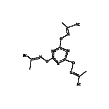 CC(=O)C(C)=NOc1nc(ON=C(C)C(C)=O)nc(ON=C(C)C(C)=O)n1